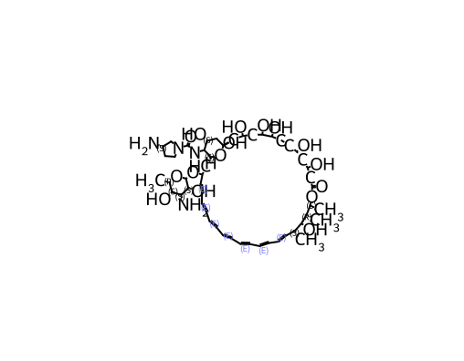 C[C@@H]1OC(=O)CC(O)CC(O)CCC(O)C(O)CC(O)CC2(O)C[C@H](O)C(NC(=O)N3CC[C@H](N)C3)[C@H](CC(OC3O[C@H](C)[C@@H](O)[C@H](N)[C@@H]3O)/C=C/C=C/C=C/C=C/C=C/C=C/C=C/[C@H](C)C(O)[C@H]1C)O2